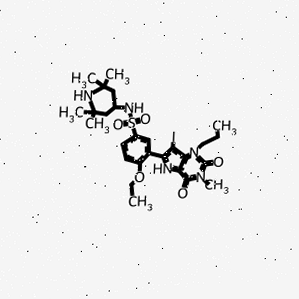 CCCn1c(=O)n(C)c(=O)c2[nH]c(-c3cc(S(=O)(=O)NC4CC(C)(C)NC(C)(C)C4)ccc3OCC)c(I)c21